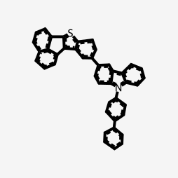 c1ccc(-c2ccc(-n3c4ccccc4c4cc(-c5ccc6sc7c(c6c5)-c5cccc6cccc-7c56)ccc43)cc2)cc1